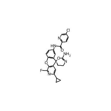 NC1=NCC[C@]2(O1)c1cc(NC(=O)c3ccc(Cl)cn3)ccc1Oc1c2cc(C2CC2)nc1F